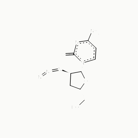 [N-]=[N+]=N[C@@H]1C[C@@H](CO)O[C@H]1n1ccc(N)nc1=O